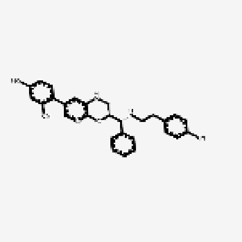 N#Cc1ccc(CCN[C@H](c2ccccc2)[C@@H]2CNc3cc(-c4ccc(O)cc4C#N)cnc3O2)cc1